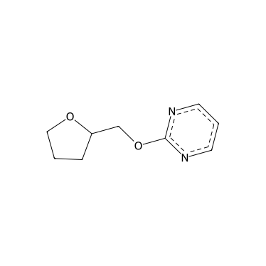 c1cnc(OCC2CCCO2)nc1